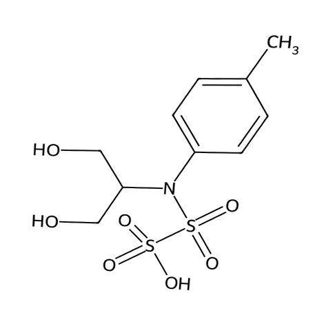 Cc1ccc(N(C(CO)CO)S(=O)(=O)S(=O)(=O)O)cc1